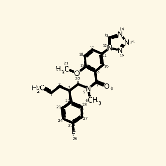 C=CCC(CN(C)C(=O)c1cc(-n2cnnn2)ccc1OC)c1ccc(F)cc1